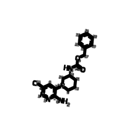 Nc1nnc(Cl)cc1N1CCC[C@@H](NC(=O)OCc2ccccc2)C1